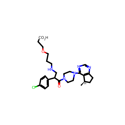 C[C@@H]1CCc2ncnc(N3CCN(C(=O)C(CNCCCOCCC(=O)O)c4ccc(Cl)cc4)CC3)c21